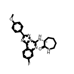 COc1ccc(-c2nc3c4ccc(F)cc4nc(N[C@@H]4CCCCNC4=O)n3n2)cc1